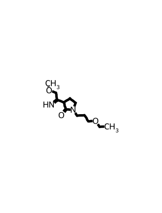 CCOCCCN1CCC(C(=N)COC)C1=O